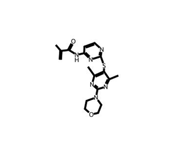 C=C(C)C(=O)Nc1ccnc(Sc2c(C)nc(N3CCOCC3)nc2C)n1